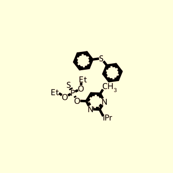 CCOP(=S)(OCC)Oc1cc(C)nc(C(C)C)n1.c1ccc(Sc2ccccc2)cc1